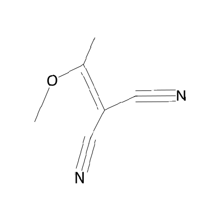 COC(C)=C(C#N)C#N